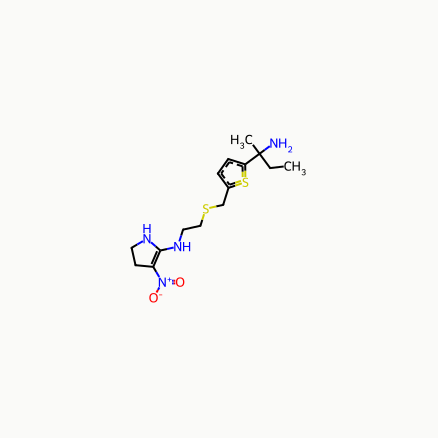 CCC(C)(N)c1ccc(CSCCNC2=C([N+](=O)[O-])CCN2)s1